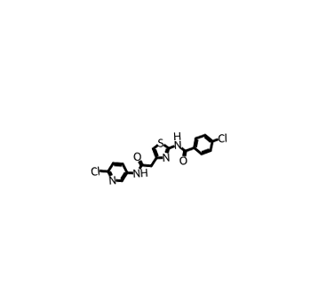 O=C(Cc1csc(NC(=O)c2ccc(Cl)cc2)n1)Nc1ccc(Cl)nc1